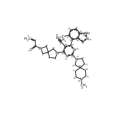 C=CC(=O)N1CC2(CCN(c3nc(N4CCC5(CCN(C)CC5)C4)nc(-c4c(C)ccc5[nH]ncc45)c3C#N)C2)C1